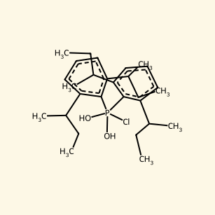 CCC(C)c1cccc(C(C)CC)c1P(O)(O)(Cl)c1c(C(C)CC)cccc1C(C)CC